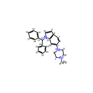 CCCN1CCN(c2ccc3ccn(C(c4ccccc4)c4ccccc4)c3c2)CC1